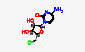 Nc1ccn([C@@H]2O[C@H](CCl)[C@@H](O)[C@H]2O)c(=O)n1